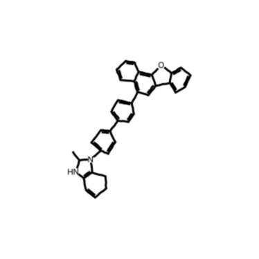 CC1NC2=C(CCC=C2)N1c1ccc(-c2ccc(-c3cc4c5ccccc5oc4c4ccccc34)cc2)cc1